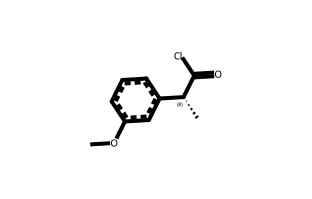 COc1cccc([C@@H](C)C(=O)Cl)c1